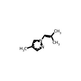 CC(C)=Cn1cc(C)cn1